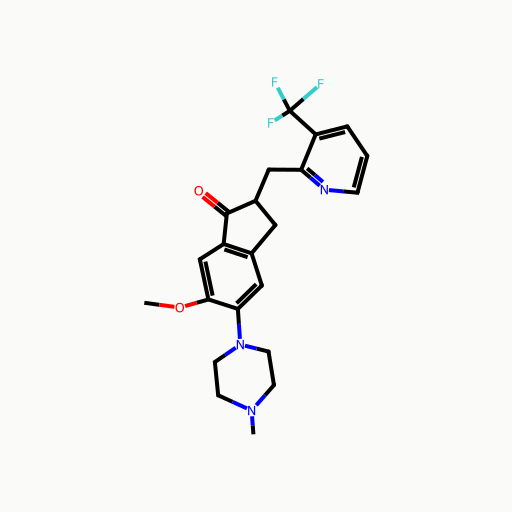 COc1cc2c(cc1N1CCN(C)CC1)CC(Cc1ncccc1C(F)(F)F)C2=O